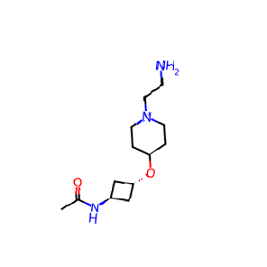 CC(=O)N[C@H]1C[C@H](OC2CCN(CCN)CC2)C1